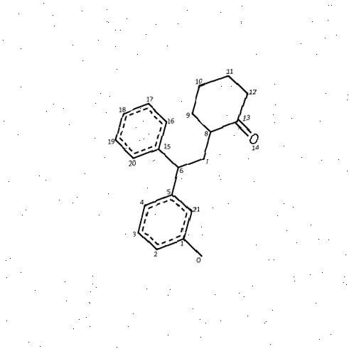 Cc1cccc(C(CC2CCCCC2=O)c2ccccc2)c1